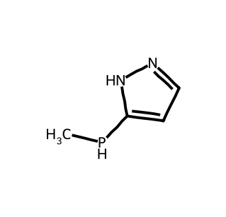 CPc1ccn[nH]1